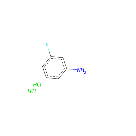 Cl.Cl.Nc1cccc(F)c1